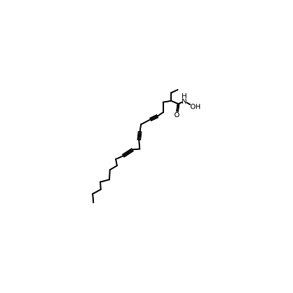 CCCCCCCCC#CCC#CCC#CCCC(CC)C(=O)NO